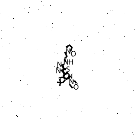 CC1(C)Cc2c(N3CCOCC3)nc3sc4c(NCCCN5CCCC5=O)ncnc4c3c2C1